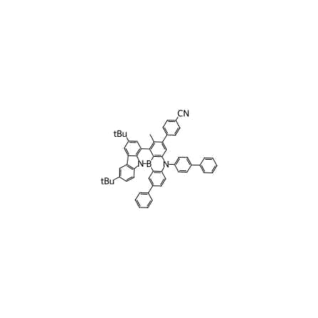 Cc1c(-c2ccc(C#N)cc2)cc2c3c1-c1cc(C(C)(C)C)cc4c5cc(C(C)(C)C)ccc5n(c14)B3c1cc(-c3ccccc3)ccc1N2c1ccc(-c2ccccc2)cc1